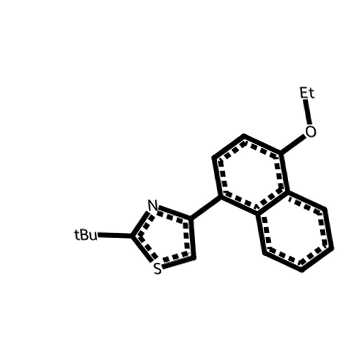 CCOc1ccc(-c2csc(C(C)(C)C)n2)c2ccccc12